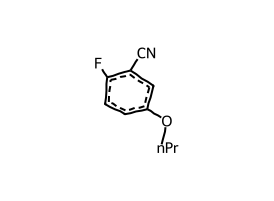 CCCOc1ccc(F)c(C#N)c1